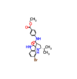 CCOC(=O)c1ccc(NC(=O)[C@H]2C[C@H](C(C)C)N[C@]23C(=O)Nc2ccc(Br)cc23)cc1